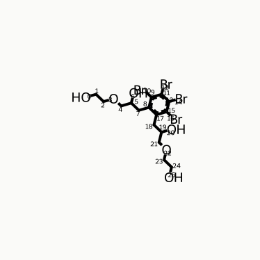 OCCOCC(O)Cc1c(Br)c(Br)c(Br)c(Br)c1CC(O)COCCO